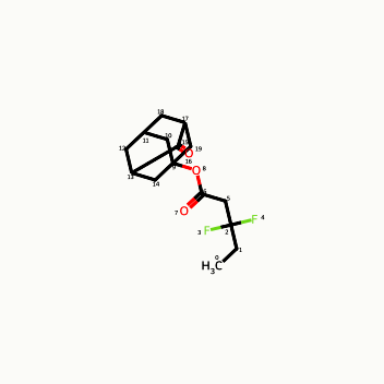 CCC(F)(F)CC(=O)OC12CC3CC(C1)C(=O)C(C3)C2